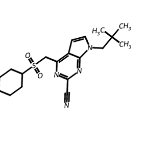 CC(C)(C)Cn1ccc2c(CS(=O)(=O)C3CCCCC3)nc(C#N)nc21